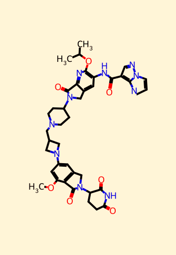 COc1cc(N2CC(CN3CCC(N4Cc5cc(NC(=O)c6cnn7cccnc67)c(OC(C)C)nc5C4=O)CC3)C2)cc2c1C(=O)N(C1CCC(=O)NC1=O)C2